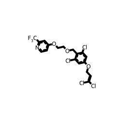 FC(F)(F)c1cc(OCCOCc2c(Cl)cc(OCC=C(Cl)Cl)cc2Cl)ccn1